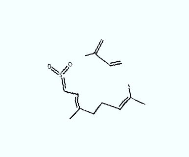 C=CC(=C)C.CC(C)=CCCC(C)=CC=S(=O)=O